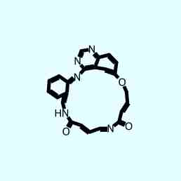 O=C1/C=C/COc2ccc3ncnc(c3c2)/N=c2\cccc\c2=C/NC(=O)/C=C/C=N/1